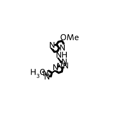 COc1cnc2c(NCc3nnc4ccc(-c5cnn(C)c5)nn34)ccnc2c1